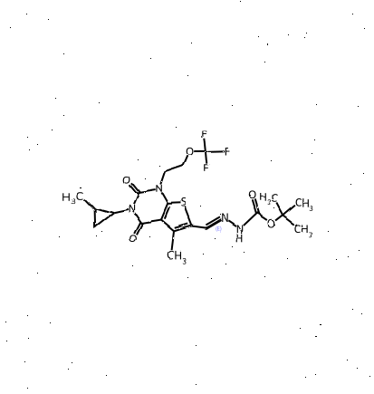 Cc1c(/C=N/NC(=O)OC(C)(C)C)sc2c1c(=O)n(C1CC1C)c(=O)n2CCOC(F)(F)F